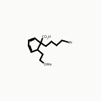 COCCC1C=CC=CC1(CCCCC(C)C)C(=O)O